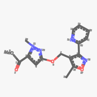 COC(=O)c1cc(OCc2c(-c3ccccn3)noc2C)nn1C